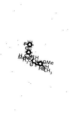 CBNc1cc2cc(C(=O)C(C)/C=N\N(CNC)c3ccc(Oc4ccccc4F)cc3C)[nH]c2cc1OC